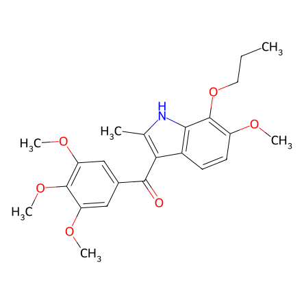 CCCOc1c(OC)ccc2c(C(=O)c3cc(OC)c(OC)c(OC)c3)c(C)[nH]c12